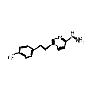 NNc1ccc(CCc2ccc(C(F)(F)F)cc2)cn1